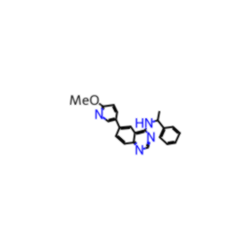 COc1ccc(-c2ccc3ncnc(NC(C)c4ccccc4)c3c2)cn1